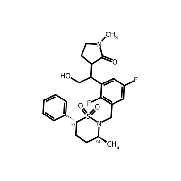 C[C@H]1CC[C@H](c2ccccc2)S(=O)(=O)N1Cc1cc(F)cc(C(CO)C2CCN(C)C2=O)c1F